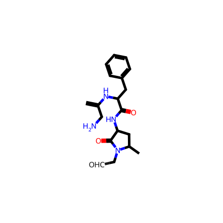 C=C(CN)NC(Cc1ccccc1)C(=O)NC1CC(C)N(CC=O)C1=O